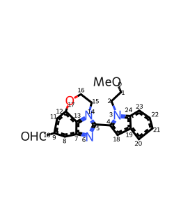 COCCn1c(-c2nc3cc(C=O)cc4c3n2CCO4)cc2ccccc21